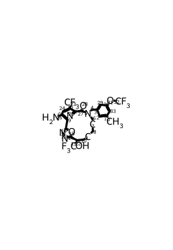 Cc1cc(CN2CCCCC[C@](O)(C(F)(F)F)c3nnc(o3)-c3nc(c(C(F)(F)F)cc3N)C2=O)cc(OC(F)(F)F)c1